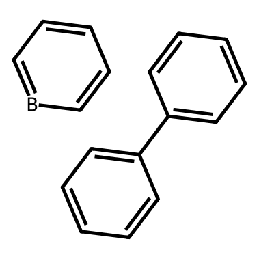 b1ccccc1.c1ccc(-c2ccccc2)cc1